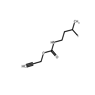 C#CCOC(=O)NCCC(C)I